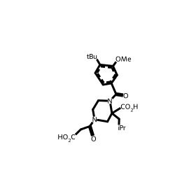 COc1cc(C(=O)N2CCN(C(=O)CC(=O)O)CC2(CC(C)C)C(=O)O)ccc1C(C)(C)C